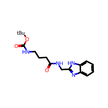 CC(C)(C)OC(=O)NCCCC(=O)NCc1nc2ccccc2[nH]1